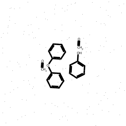 C=O.C=O.Oc1ccccc1.c1ccc(Oc2ccccc2)cc1